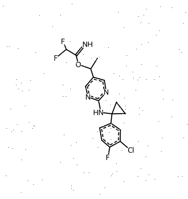 CC(OC(=N)C(F)F)c1cnc(NC2(c3ccc(F)c(Cl)c3)CC2)nc1